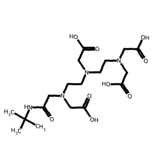 CC(C)(C)NC(=O)CN(CCN(CCN(CC(=O)O)CC(=O)O)CC(=O)O)CC(=O)O